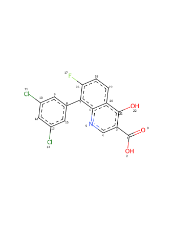 O=C(O)c1cnc2c(-c3cc(Cl)cc(Cl)c3)c(F)ccc2c1O